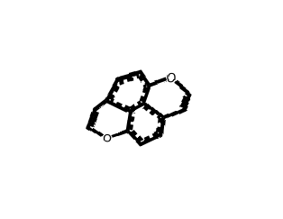 C1=Cc2ccc3c4c(ccc(c24)O1)C=CO3